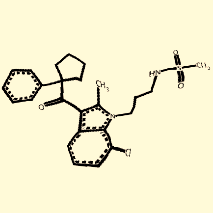 Cc1c(C(=O)C2(c3ccccc3)CCCC2)c2cccc(Cl)c2n1CCCNS(C)(=O)=O